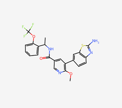 COc1ncc(C(=O)NC(C)c2ccccc2OC(F)(F)F)cc1-c1ccc2nc(N)sc2c1